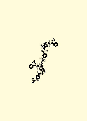 C=CC(=O)Nc1ccc(C(=O)Nc2c3c(nn2C)C(C)(C/C=C/C(=O)Nc2cccc(C(=O)Nc4nn(C)c5c4CN(C(=O)N[C@H](CN(C)C)c4ccccc4)C5(C)C)c2)N(C(=O)N[C@H](CN(C)C)c2ccccc2)C3)cc1